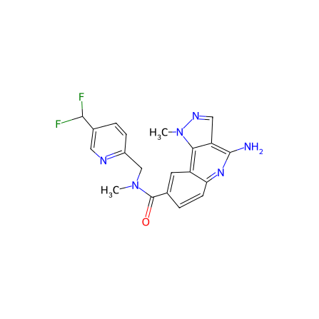 CN(Cc1ccc(C(F)F)cn1)C(=O)c1ccc2nc(N)c3cnn(C)c3c2c1